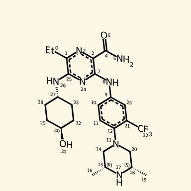 CCc1nc(C(N)=O)c(Nc2ccc(N3C[C@@H](C)N[C@@H](C)C3)c(C(F)(F)F)c2)nc1N[C@H]1CC[C@H](O)CC1